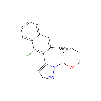 COc1cc2ccccc2c(F)c1-c1ccnn1C1CCCCO1